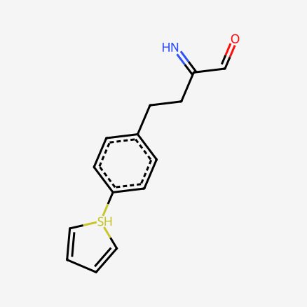 N=C(C=O)CCc1ccc([SH]2C=CC=C2)cc1